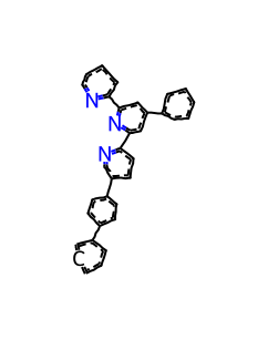 c1ccc(-c2ccc(-c3ccc(-c4cc(-c5ccccc5)cc(-c5ccccn5)n4)nc3)cc2)cc1